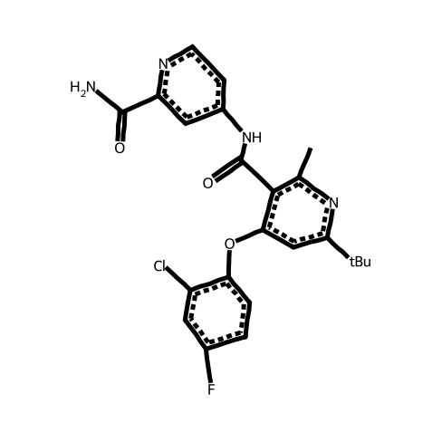 Cc1nc(C(C)(C)C)cc(Oc2ccc(F)cc2Cl)c1C(=O)Nc1ccnc(C(N)=O)c1